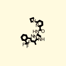 CC1=CC(c2ccccc2C(F)(F)F)=NN2C(NC(=O)c3cccc(N4CCC4)n3)=CNC12